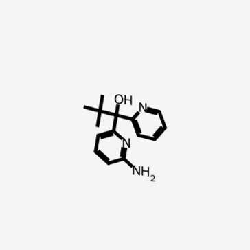 CC(C)(C)C(O)(c1ccccn1)c1cccc(N)n1